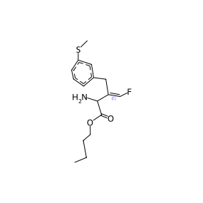 CCCCOC(=O)C(N)/C(=C/F)Cc1cccc(SC)c1